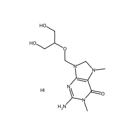 CN1CN(COC(CO)CO)c2nc(N)n(C)c(=O)c21.I